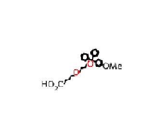 COc1ccc(C(OCC=CCOCCCCCC(=O)O)(c2ccccc2)c2ccccc2)cc1